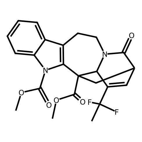 COC(=O)n1c2c(c3ccccc31)CCN1C(=O)C3C=C(C(C)(F)F)C1C2(C(=O)OC)C3